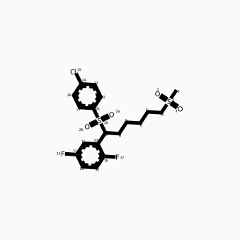 CS(=O)(=O)CCCCCC(c1cc(F)ccc1F)S(=O)(=O)c1ccc(Cl)cc1